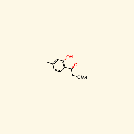 COCC(=O)c1ccc(C)cc1O